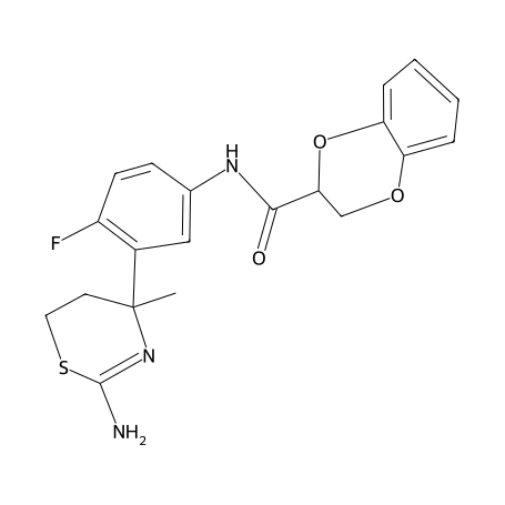 CC1(c2cc(NC(=O)C3COc4ccccc4O3)ccc2F)CCSC(N)=N1